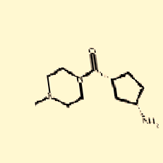 CN1CCN(C(=O)[C@@H]2CC[C@H](N)C2)CC1